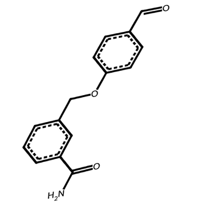 NC(=O)c1cccc(COc2ccc(C=O)cc2)c1